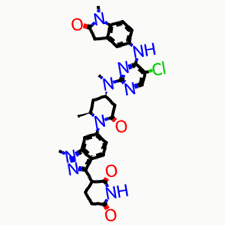 C[C@H]1C[C@H](N(C)c2ncc(Cl)c(Nc3ccc4c(c3)CC(=O)N4C)n2)CC(=O)N1c1ccc2c(C3CCC(=O)NC3=O)nn(C)c2c1